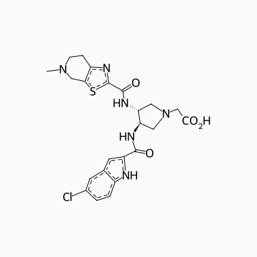 CN1CCc2nc(C(=O)N[C@@H]3CN(CC(=O)O)C[C@H]3NC(=O)c3cc4cc(Cl)ccc4[nH]3)sc2C1